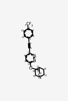 FC(F)(F)c1ccc(C#Cc2ccc(OC3CN4CCC3CC4)nn2)cc1